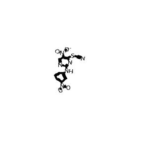 N#CSc1nc(Nc2cccc([N+](=O)[O-])c2)ncc1[N+](=O)[O-]